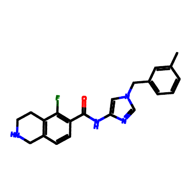 Cc1cccc(Cn2cnc(NC(=O)c3ccc4c(c3F)CCNC4)c2)c1